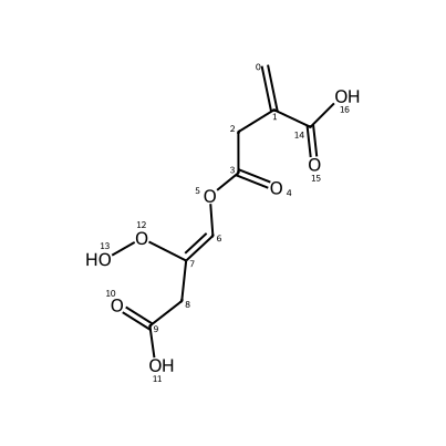 C=C(CC(=O)O/C=C(/CC(=O)O)OO)C(=O)O